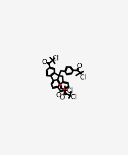 CC(C)(Cl)C(=O)c1ccc(CC2(Cc3ccc(C(=O)C(C)(C)Cl)cc3)c3cc(C(=O)C(C)(C)Cl)ccc3-c3ccc(C(=O)C(C)(C)Cl)cc32)cc1